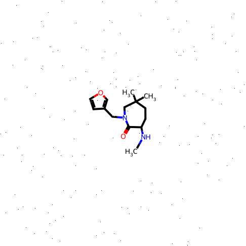 CNC1CCC(C)(C)CN(Cc2ccoc2)C1=O